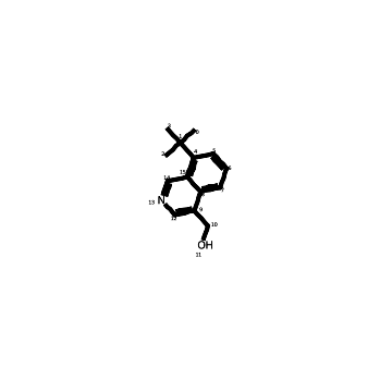 CC(C)(C)c1cccc2c(CO)cncc12